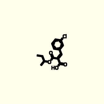 CCC(C)OC(=O)C(=Cc1cccc(Cl)c1)C(=O)O